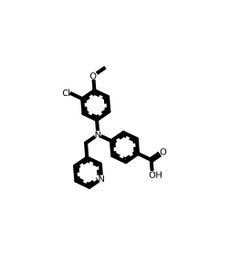 COc1ccc(N(Cc2cccnc2)c2ccc(C(=O)O)cc2)cc1Cl